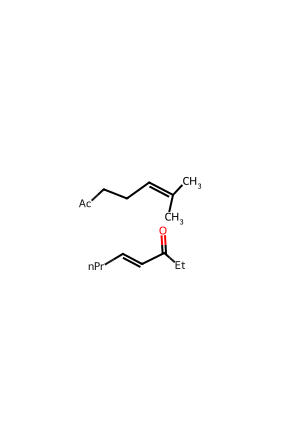 CC(=O)CCC=C(C)C.CCCC=CC(=O)CC